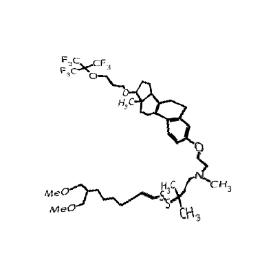 COCC(CCCCCCSSC(C)(C)CCN(C)CCOc1ccc2c(c1)CCC1C2CCC2(C)C(OCCCOC(C(F)(F)F)(C(F)(F)F)C(F)(F)F)CCC12)COC